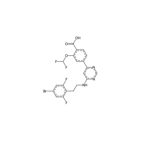 O=C(O)c1ccc(-c2cc(NCCc3c(F)cc(Br)cc3F)ncn2)cc1OC(F)F